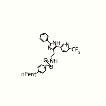 CCCCCc1ccc(S(=O)(=O)NCCc2nc(-c3ccccc3)[nH]c2-c2ccc(C(F)(F)F)nc2)cc1